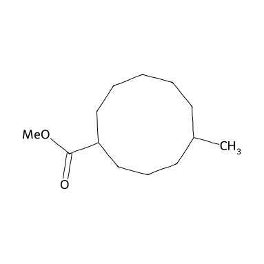 COC(=O)C1CCCCCC(C)CCC1